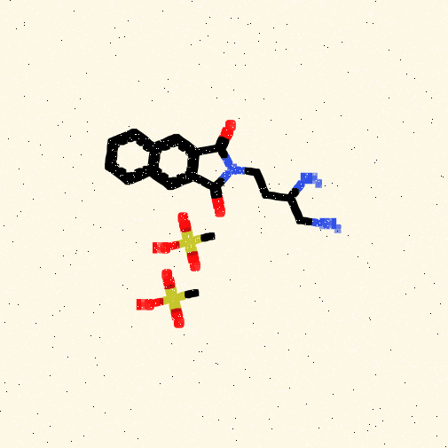 CS(=O)(=O)O.CS(=O)(=O)O.NCC(N)CCN1C(=O)c2cc3ccccc3cc2C1=O